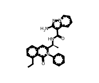 CCc1cccc2cc([C@H](C)NC(=O)c3c(N)nn4ccccc34)n(-c3ccccc3)c(=O)c12